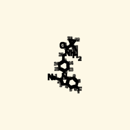 N#Cc1cc2cc(F)ccc2n1-c1ccc(CNC(=O)C2(N)CC2)cc1